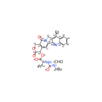 CCCCN(C=O)C(=O)N[C@H](C(=O)OC1C(=O)OCc2c1cc1n(c2=O)Cc2c-1nc1ccccc1c2CC)C(C)C